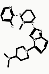 CN(C)C1CCN(c2cccc3nc([C@H]4CCC[C@@H](c5ncccc5Cl)N4C)cn23)CC1